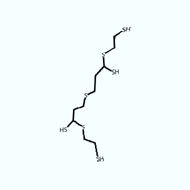 SCCSC(S)CCSCCC(S)SCCS